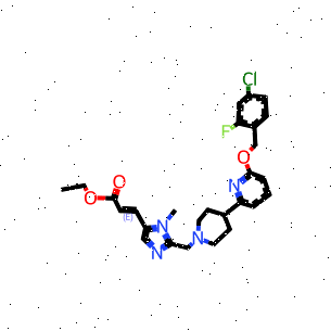 CCOC(=O)/C=C/c1cnc(CN2CCC(c3cccc(OCc4ccc(Cl)cc4F)n3)CC2)n1C